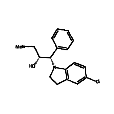 CNC[C@@H](O)[C@H](c1ccccc1)N1CCc2cc(Cl)ccc21